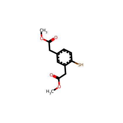 COC(=O)Cc1ccc(S)c(CC(=O)OC)c1